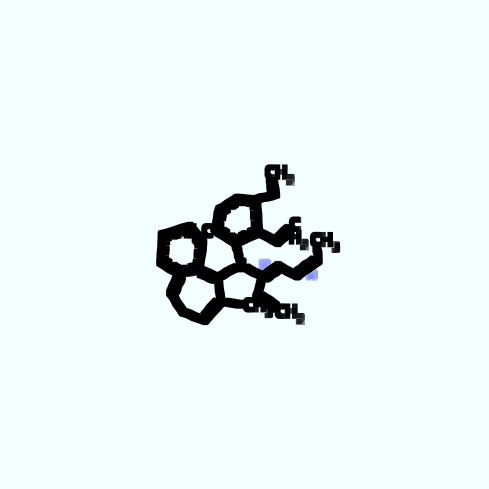 C=C/C(=C\C=C/C)B(C1=c2ccccc2=CCC=C1C)c1c(C)ccc(C=C)c1C=C